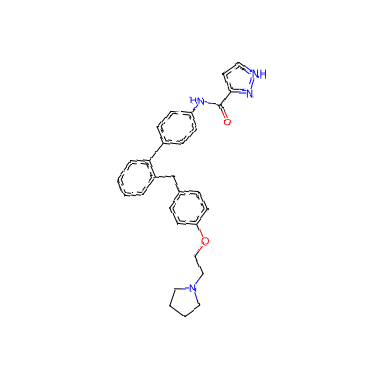 O=C(Nc1ccc(-c2ccccc2Cc2ccc(OCCN3CCCC3)cc2)cc1)c1cc[nH]n1